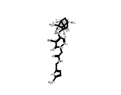 Cc1ccc(CNC(=O)Cn2ncc(N[C@@H]3C[C@@H]4C[C@H]([C@H]3C)C4(C)C)c(Br)c2=O)o1